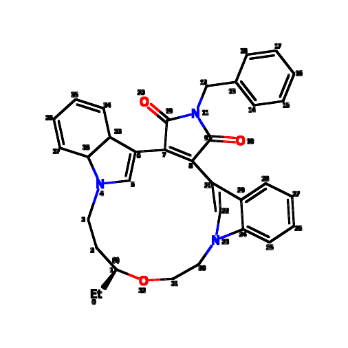 CC[C@H]1CCN2C=C(C3=C(C(=O)N(Cc4ccccc4)C3=O)c3cn(c4ccccc34)CCO1)C1C=CC=CC12